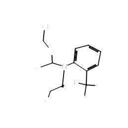 CCOC(C)N(C(=O)CCl)c1ccccc1C(F)(F)F